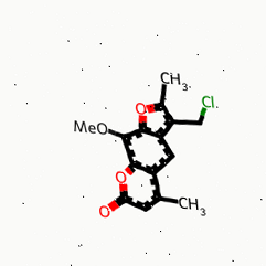 COc1c2oc(=O)cc(C)c2cc2c(CCl)c(C)oc12